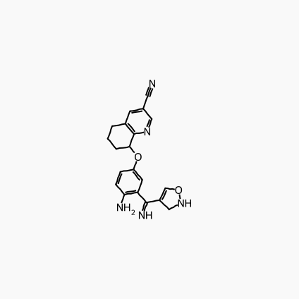 N#Cc1cnc2c(c1)CCCC2Oc1ccc(N)c(C(=N)C2=CONC2)c1